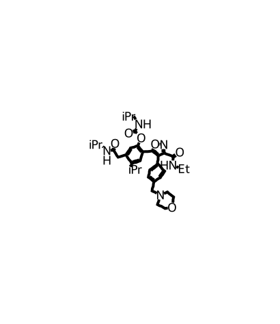 CCNC(=O)c1noc(-c2cc(C(C)C)c(CC(=O)NC(C)C)cc2OC(=O)NC(C)C)c1-c1ccc(CN2CCOCC2)cc1